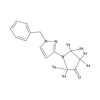 [2H]C1([2H])C(=O)C([2H])([2H])C([2H])([2H])N1c1ccn(Cc2ccccc2)n1